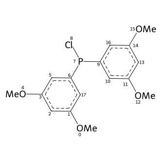 COc1cc(OC)cc(P(Cl)c2cc(OC)cc(OC)c2)c1